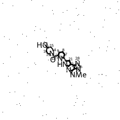 CNc1nc2[nH]c(-c3cccc(C(=O)N4CCC(O)CC4)n3)cc2c2c1ncn2C